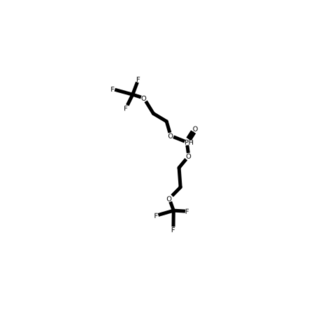 O=[PH](OCCOC(F)(F)F)OCCOC(F)(F)F